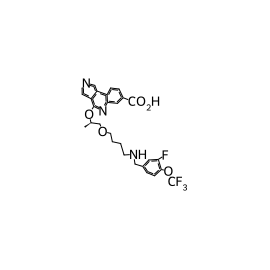 C[C@H](COCCCCNCc1ccc(OC(F)(F)F)c(F)c1)Oc1nc2cc(C(=O)O)ccc2c2cnccc12